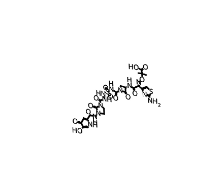 CC(C)(ON=C(C(=O)N[C@H]1CN(C(=O)NS(=O)(=O)NNC(=O)N2CCN(NC(=O)c3cc(=O)c(O)c[nH]3)C2=O)C1=O)c1csc(N)n1)C(=O)O